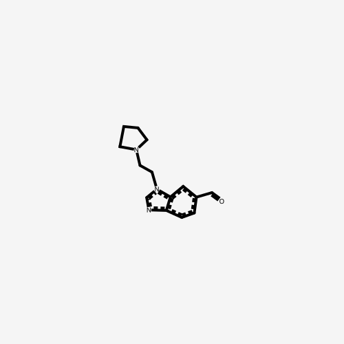 O=Cc1ccc2ncn(CCN3CCCC3)c2c1